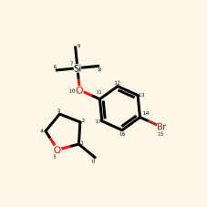 CC1CCCO1.C[Si](C)(C)Oc1ccc(Br)cc1